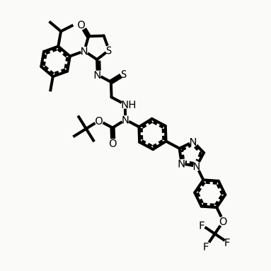 Cc1ccc(C(C)C)c(N2C(=O)CS/C2=N\C(=S)CNN(C(=O)OC(C)(C)C)c2ccc(-c3ncn(-c4ccc(OC(F)(F)F)cc4)n3)cc2)c1